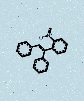 C=[N+]([O-])c1ccccc1C(=Cc1ccccc1)c1ccccc1